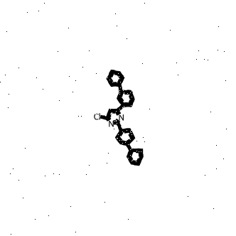 Clc1cc(-c2cccc(-c3ccccc3)c2)nc(-c2ccc(-c3ccccc3)cc2)n1